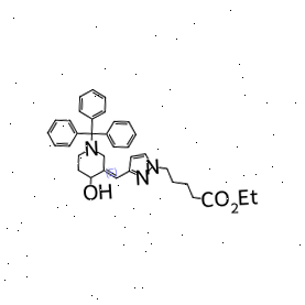 CCOC(=O)CCCCn1ccc(/C=C2\CN(C(c3ccccc3)(c3ccccc3)c3ccccc3)CCC2O)n1